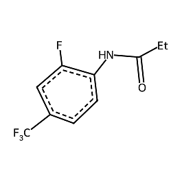 CCC(=O)Nc1ccc(C(F)(F)F)cc1F